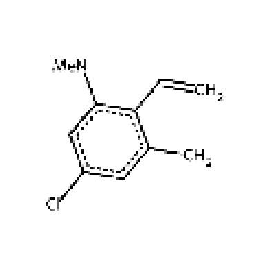 C=Cc1c(C)cc(Cl)cc1NC